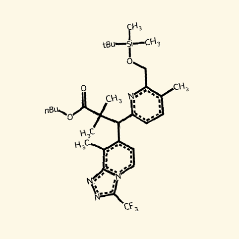 CCCCOC(=O)C(C)(C)C(c1ccc(C)c(CO[Si](C)(C)C(C)(C)C)n1)c1ccn2c(C(F)(F)F)nnc2c1C